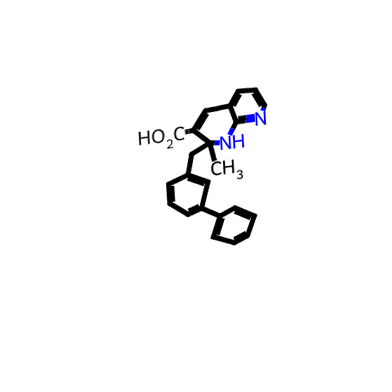 CC1(Cc2cccc(-c3ccccc3)c2)Nc2ncccc2C=C1C(=O)O